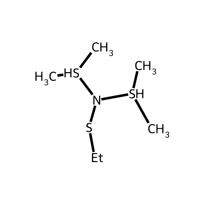 CCSN([SH](C)C)[SH](C)C